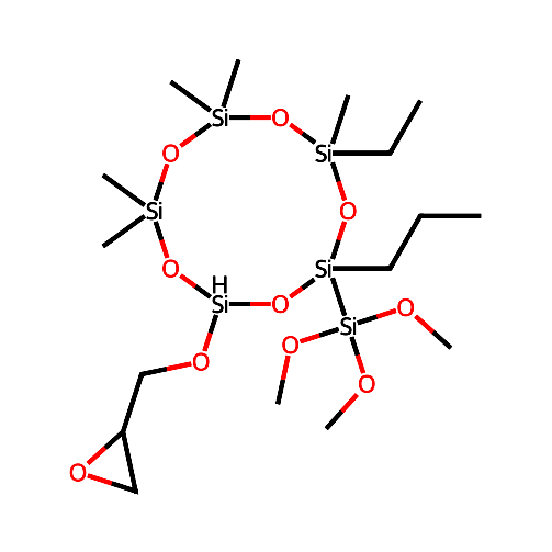 CCC[Si]1([Si](OC)(OC)OC)O[SiH](OCC2CO2)O[Si](C)(C)O[Si](C)(C)O[Si](C)(CC)O1